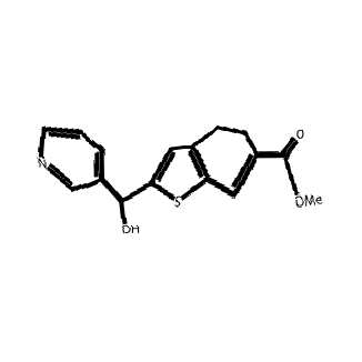 COC(=O)C1=Cc2sc(C(O)c3cccnc3)cc2CC1